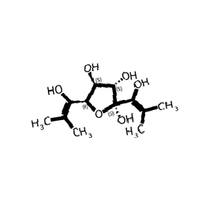 CC(C)=C(O)[C@@H]1O[C@](O)(C(O)=C(C)C)[C@@H](O)[C@@H]1O